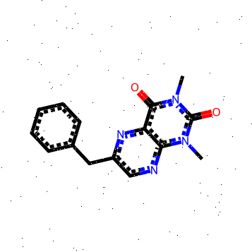 Cn1c(=O)c2nc(Cc3ccccc3)cnc2n(C)c1=O